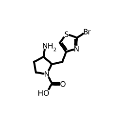 NC1CCN(C(=O)O)C1Cc1csc(Br)n1